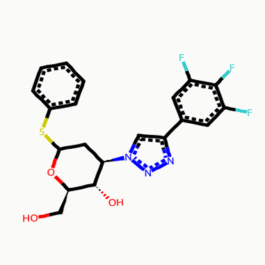 OC[C@H]1OC(Sc2ccccc2)C[C@@H](n2cc(-c3cc(F)c(F)c(F)c3)nn2)[C@@H]1O